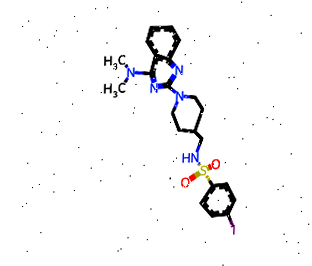 CN(C)c1nc(N2CCC(CNS(=O)(=O)c3ccc(I)cc3)CC2)nc2ccccc12